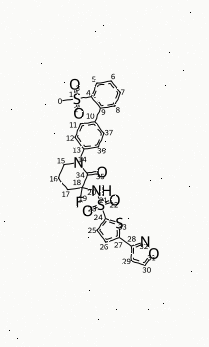 CS(=O)(=O)c1ccccc1-c1ccc(N2CCCC(F)(NS(=O)(=O)c3ccc(-c4ccon4)s3)C2=O)cc1